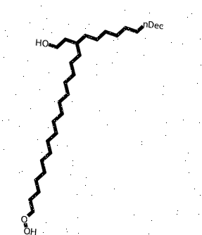 CCCCCCCCCCCCCCCCC(CCO)CCCCCCCCCCCCCCCCCOO